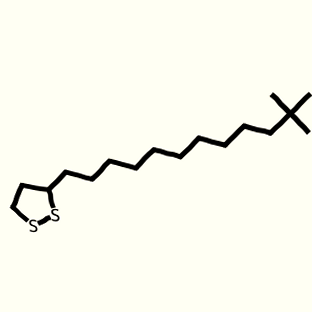 CC(C)(C)CCCCCCCCCCC1CCSS1